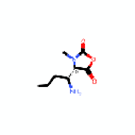 CCCC(N)[C@H]1C(=O)OC(=O)N1C